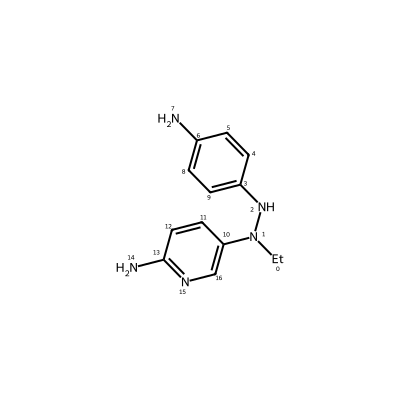 CCN(Nc1ccc(N)cc1)c1ccc(N)nc1